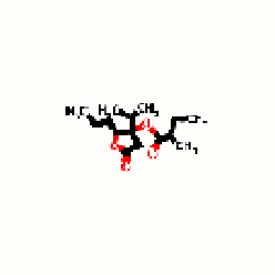 CCCC1OC(=O)CC1(OC(=O)C(C)CC)C(C)C